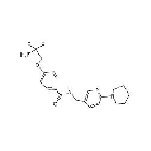 O=C(NCc1ccc(N2CCCCC2)nc1)c1ccc(OCC(F)(F)P)cc1